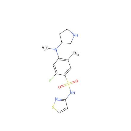 Cc1cc(S(=O)(=O)Nc2ccsn2)c(F)cc1N(C)C1CCNC1